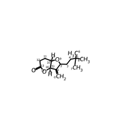 C=C1C(CCC(C)(C)C)O[C@H]2CCC(=O)O[C@@H]12